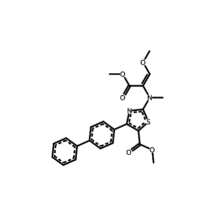 CO/C=C(\C(=O)OC)N(C)c1nc(-c2ccc(-c3ccccc3)cc2)c(C(=O)OC)s1